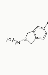 O=C(O)N[C@H]1Cc2ccc(Cl)cc2C1